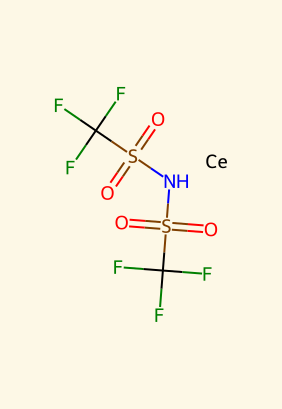 O=S(=O)(NS(=O)(=O)C(F)(F)F)C(F)(F)F.[Ce]